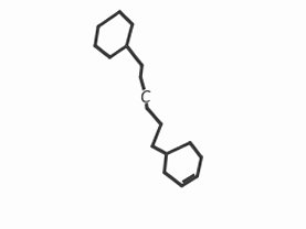 C1=CCC(CCCCCCC2CCCCC2)CC1